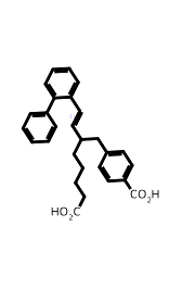 O=C(O)CCCCC(/C=C/c1ccccc1-c1ccccc1)Cc1ccc(C(=O)O)cc1